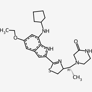 CCOc1cc(NC2CCCC2)c2[nH]c(C3=NC([C@@H](C)N4CCNC(=O)C4)CS3)cc2c1